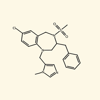 Cn1cncc1CN1CC(Cc2ccccc2)N(S(C)(=O)=O)Cc2cc(Cl)ccc21